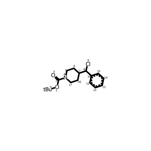 CC(C)(C)OC(=O)N1CCC(C(Cl)c2ccccc2)CC1